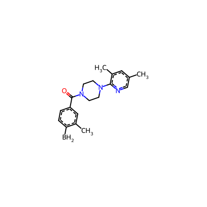 Bc1ccc(C(=O)N2CCN(c3ncc(C)cc3C)CC2)cc1C